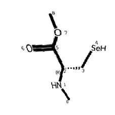 CN[C@@H](C[SeH])C(=O)OC